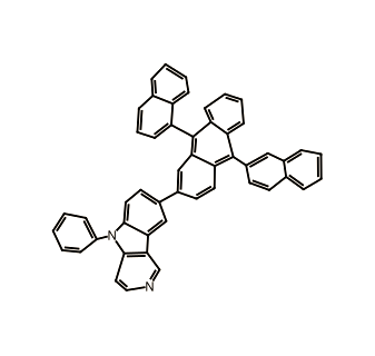 c1ccc(-n2c3ccncc3c3cc(-c4ccc5c(-c6ccc7ccccc7c6)c6ccccc6c(-c6cccc7ccccc67)c5c4)ccc32)cc1